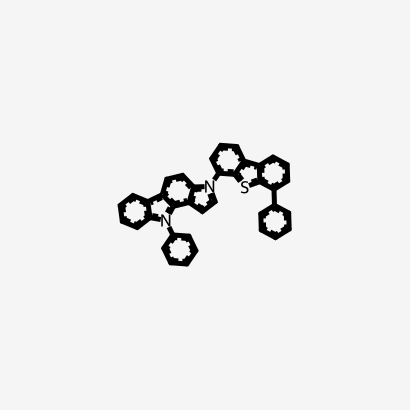 c1ccc(-c2cccc3c2sc2c(-n4ccc5c4ccc4c6ccccc6n(-c6ccccc6)c45)cccc23)cc1